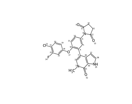 Cn1cc(-c2cc(N3C(=O)CCC3=O)ccc2Oc2ccc(Cl)c(F)c2)c2cc[nH]c2c1=O